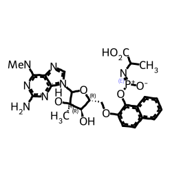 CNc1nc(N)nc2c1ncn2C1O[C@H](COc2ccc3ccccc3c2O/[P+]([O-])=N/C(C)C(=O)O)[C@@H](O)[C@@]1(C)O